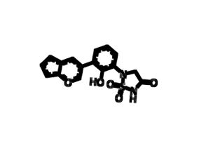 O=C1CN(c2cccc(-c3coc4cccc-4c3)c2O)S(=O)(=O)N1